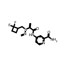 C=NN(CC1CCC1(F)F)C(=C)C(=O)Nc1ccnc(C(N)=O)c1